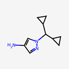 Nc1cnn(C(C2CC2)C2CC2)c1